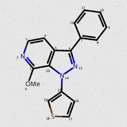 COc1nccc2c(-c3ccccc3)nn(-c3ccsc3)c12